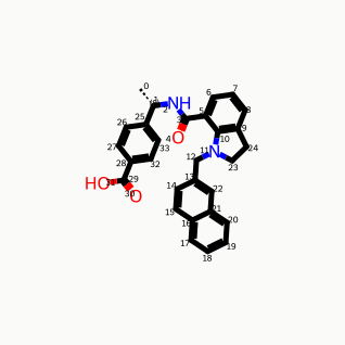 C[C@H](NC(=O)c1cccc2c1N(Cc1ccc3ccccc3c1)CC2)c1ccc(C(=O)O)cc1